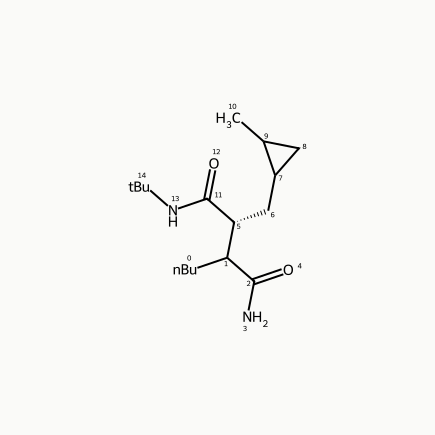 CCCCC(C(N)=O)[C@@H](CC1CC1C)C(=O)NC(C)(C)C